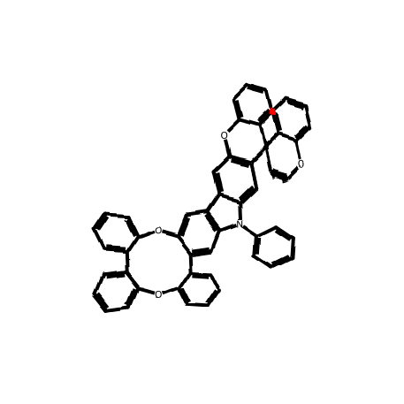 c1ccc(-n2c3cc4c(cc3c3cc5c(cc32)C2(c3ccccc3Oc3ccccc32)c2ccccc2O5)Oc2ccccc2-c2ccccc2Oc2ccccc2-4)cc1